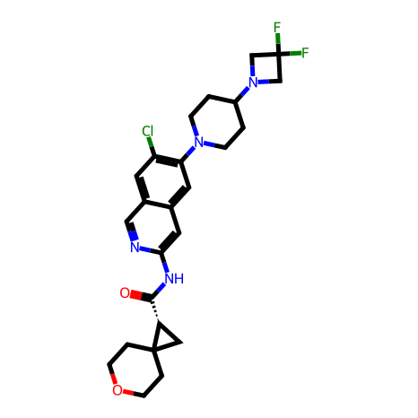 O=C(Nc1cc2cc(N3CCC(N4CC(F)(F)C4)CC3)c(Cl)cc2cn1)[C@@H]1CC12CCOCC2